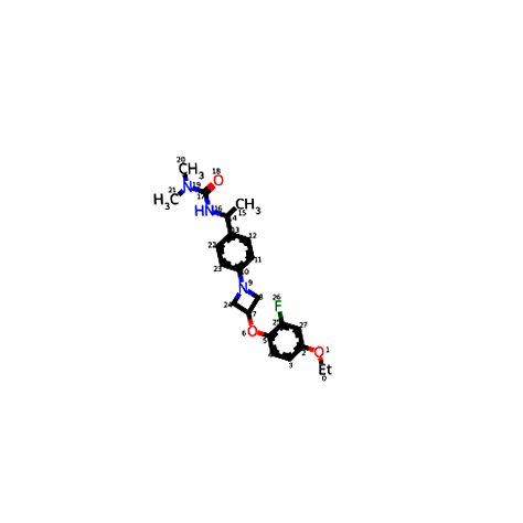 CCOc1ccc(OC2CN(c3ccc(C(C)NC(=O)N(C)C)cc3)C2)c(F)c1